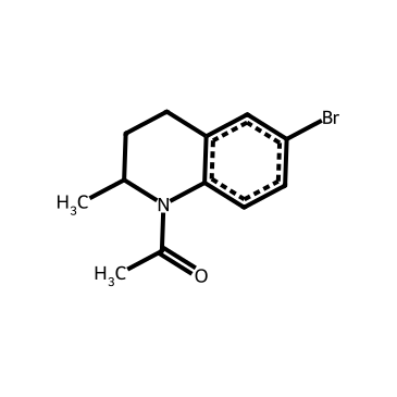 CC(=O)N1c2ccc(Br)cc2CCC1C